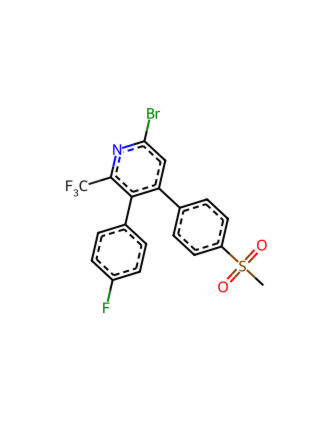 CS(=O)(=O)c1ccc(-c2cc(Br)nc(C(F)(F)F)c2-c2ccc(F)cc2)cc1